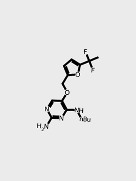 CCCCNc1nc(N)ncc1OCc1ccc(C(C)(F)F)o1